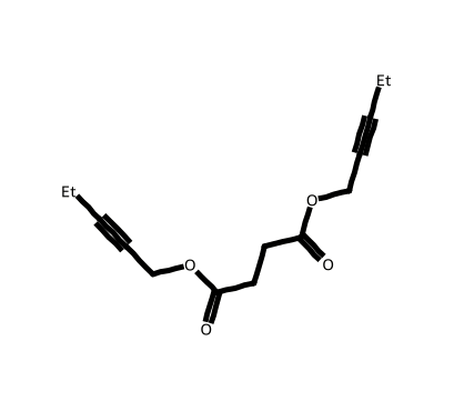 CCC#CCOC(=O)CCC(=O)OCC#CCC